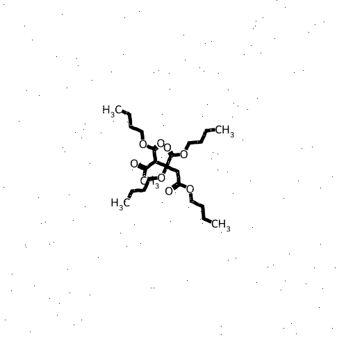 CCCCOC(=O)CC(OCCCC)(C(=O)OCCCC)C(C(C)=O)C(=O)OCCCC